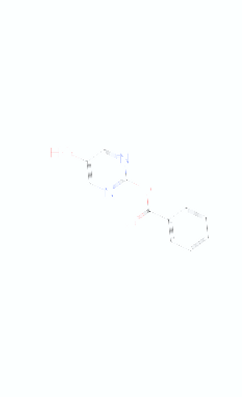 O=C(Oc1ncc(O)cn1)c1ccccc1